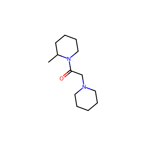 CC1CCCCN1C(=O)CN1CCCCC1